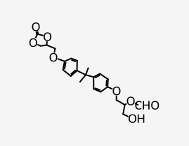 CC(C)(c1ccc(OCC(CO)OC=O)cc1)c1ccc(OCC2COC(=O)O2)cc1